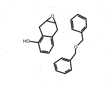 Oc1cccc2c1CC1OC1C2.c1ccc(COCc2ccccc2)cc1